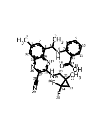 Cc1cc(C(C)Nc2ccccc2C(=O)O)c2nc(NCC3(C)CC3(F)F)c(C#N)nc2c1